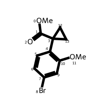 COC(=O)C1(c2ccc(Br)cc2OC)CC1